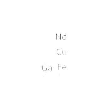 [Cu].[Fe].[Ga].[Nd]